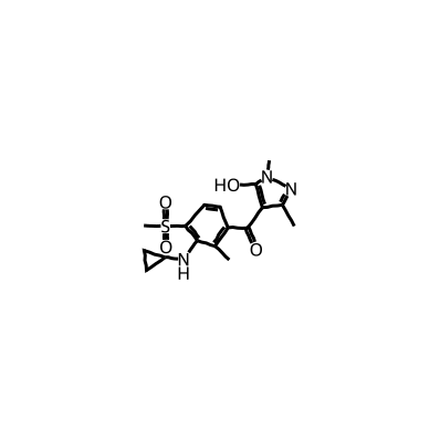 Cc1nn(C)c(O)c1C(=O)c1ccc(S(C)(=O)=O)c(NC2CC2)c1C